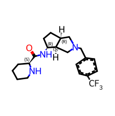 O=C(N[C@@H]1CC[C@H]2CN(Cc3ccc(C(F)(F)F)cc3)C[C@H]21)[C@@H]1CCCCN1